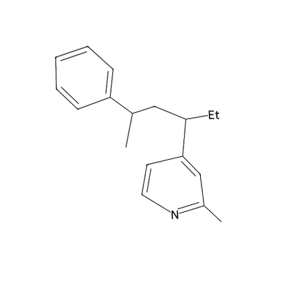 CCC(CC(C)c1ccccc1)c1ccnc(C)c1